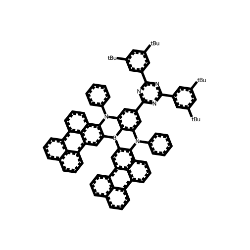 CC(C)(C)c1cc(-c2nc(-c3cc(C(C)(C)C)cc(C(C)(C)C)c3)nc(-c3cc4c5c(c3)N(c3ccccc3)c3c(cc6c7cccc8cccc(c9cccc3c96)c87)B5c3cc5c6cccc7cccc(c8cccc(c3N4c3ccccc3)c85)c76)n2)cc(C(C)(C)C)c1